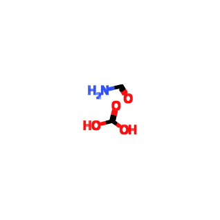 NC=O.O=C(O)O